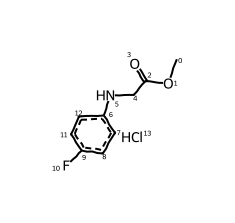 COC(=O)CNc1ccc(F)cc1.Cl